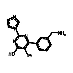 CC(C)c1c(O)nc(-n2ccnc2)nc1-c1cccc(CN)c1